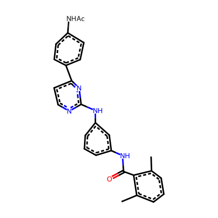 CC(=O)Nc1ccc(-c2ccnc(Nc3cccc(NC(=O)c4c(C)cccc4C)c3)n2)cc1